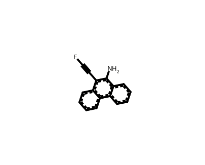 Nc1c(C#CF)c2ccccc2c2ccccc12